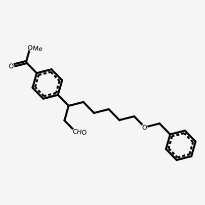 COC(=O)c1ccc(C(CC=O)CCCCCOCc2ccccc2)cc1